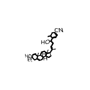 CC[C@]1(O)CC[C@@]2(C)C(=CC[C@@H]3C2CC[C@]2(C)[C@@H]([C@H](C)CCC(O)C4=CC=C(C#N)CC4C)CC[C@@H]32)C1